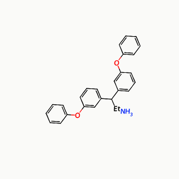 CCC(c1cccc(Oc2ccccc2)c1)c1cccc(Oc2ccccc2)c1.N